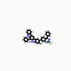 Cc1cc2[nH]c3c(cc4c5ccccc5n5c6ccccc6c3c45)c2cc1-c1ccc2c(-c3ccccc3)nc(Cl)nc2c1